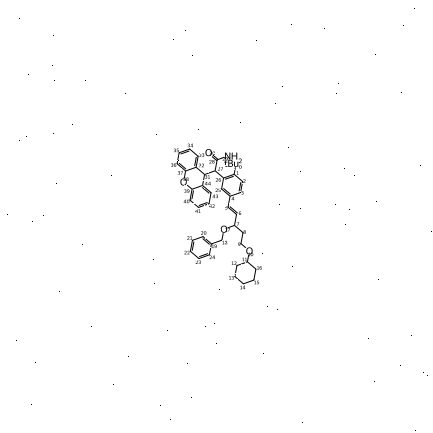 CC(C)(C)c1ccc(/C=C/C(CCOC2CCCCC2)OCc2ccccc2)cc1C(C(N)=O)C1c2ccccc2Oc2ccccc21